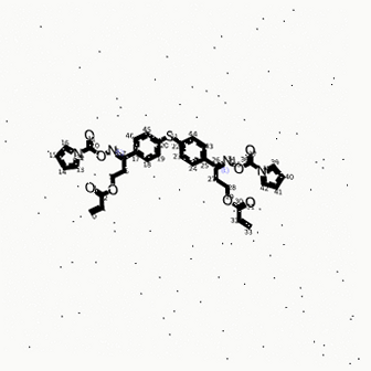 C=CC(=O)OCC/C(=N\OC(=O)n1cccc1)c1ccc(Sc2ccc(/C(CCOC(=O)C=C)=N/OC(=O)n3cccc3)cc2)cc1